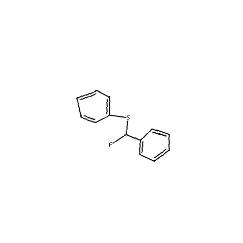 F[C](Sc1ccccc1)c1ccccc1